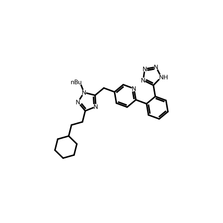 CCCCn1nc(CCC2CCCCC2)nc1Cc1ccc(-c2ccccc2-c2nnn[nH]2)nc1